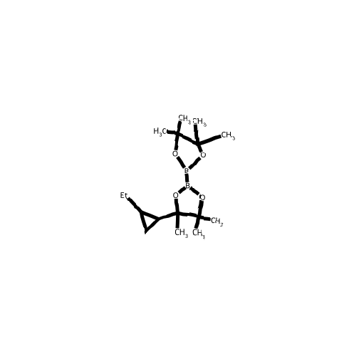 CCC1CC1C1(C)OB(B2OC(C)(C)C(C)(C)O2)OC1(C)C